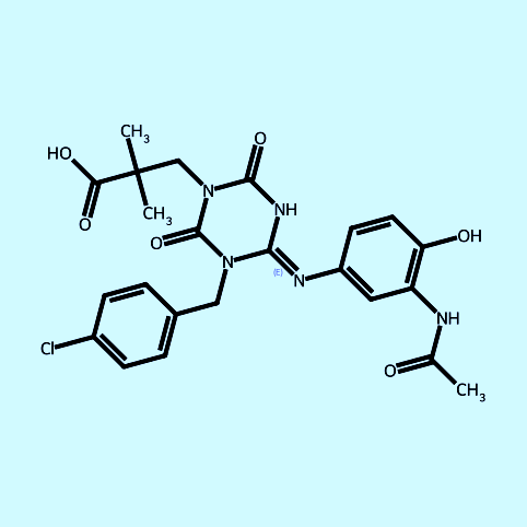 CC(=O)Nc1cc(/N=c2\[nH]c(=O)n(CC(C)(C)C(=O)O)c(=O)n2Cc2ccc(Cl)cc2)ccc1O